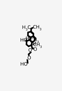 CC(C)C1=CC2=CC[C@@H]3[C@](C)(C(O)CC[C@@]3(C)C(=O)OCCOCCO)[C@H]2CC1